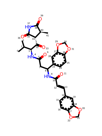 CC(C)[C@H](NC(=O)CC(NC(=O)/C=C/c1ccc2c(c1)OCO2)c1ccc2c(c1)OCO2)C(=O)[C@@H]1C(=O)NC(=O)[C@H]1C